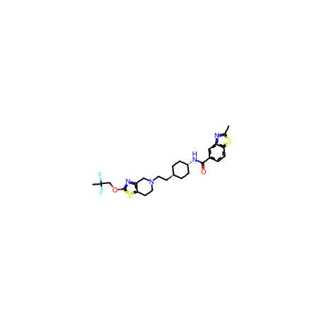 Cc1nc2cc(C(=O)N[C@H]3CC[C@H](CCN4CCc5sc(OCC(C)(F)F)nc5C4)CC3)ccc2s1